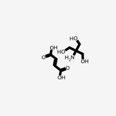 NC(CO)(CO)CO.O=C(O)/C=C/C(=O)O